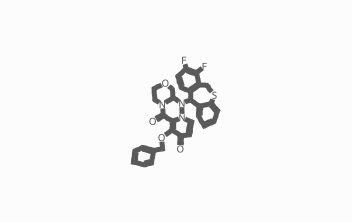 O=C1c2c(OCc3ccccc3)c(=O)ccn2N(C2c3ccccc3SCc3c2ccc(F)c3F)C2COCCN12